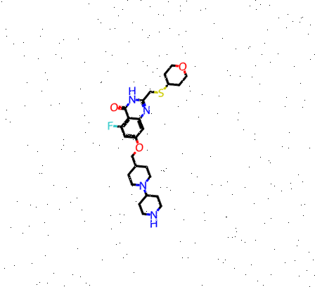 O=c1[nH]c(CSC2CCOCC2)nc2cc(OCC3CCN(C4CCNCC4)CC3)cc(F)c12